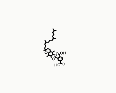 CC(C)=CCCC(C)=CCCC(C)=CCC[C@]1(C)CCc2c(C)c(OC(=O)c3cc(C(=O)O)ccc3C(=O)O)c(C)c(C)c2O1